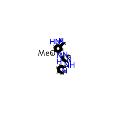 COc1cc2[nH]ncc2cc1Nc1cc(Nc2ccccn2)ncn1